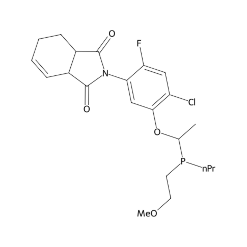 CCCP(CCOC)C(C)Oc1cc(N2C(=O)C3C=CCCC3C2=O)c(F)cc1Cl